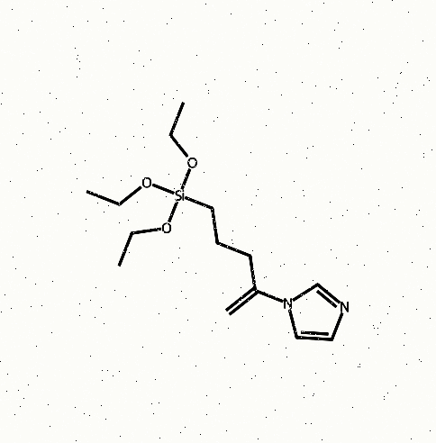 C=C(CCC[Si](OCC)(OCC)OCC)n1ccnc1